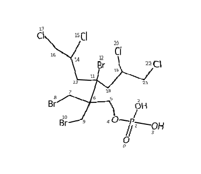 O=P(O)(O)OCC(CBr)(CBr)C(Br)(CC(Cl)CCl)CC(Cl)CCl